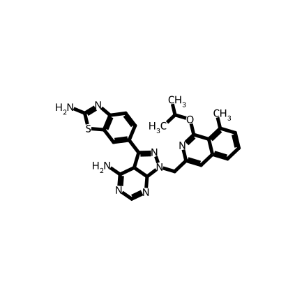 Cc1cccc2cc(CN3N=C(c4ccc5nc(N)sc5c4)C4C(N)=NC=NC43)nc(OC(C)C)c12